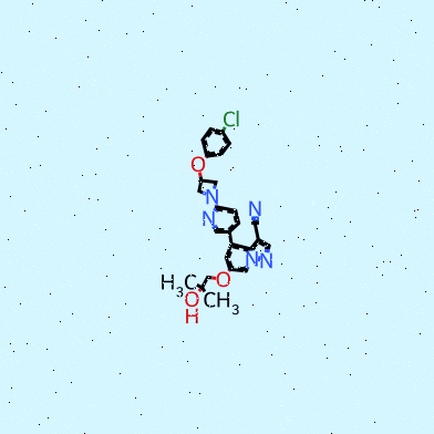 CC(C)(O)COc1cc(-c2ccc(N3CC(Oc4ccc(Cl)cc4)C3)nc2)c2c(C#N)cnn2c1